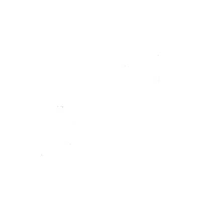 O=C(Cc1ccc2ccoc2c1)C1CC1